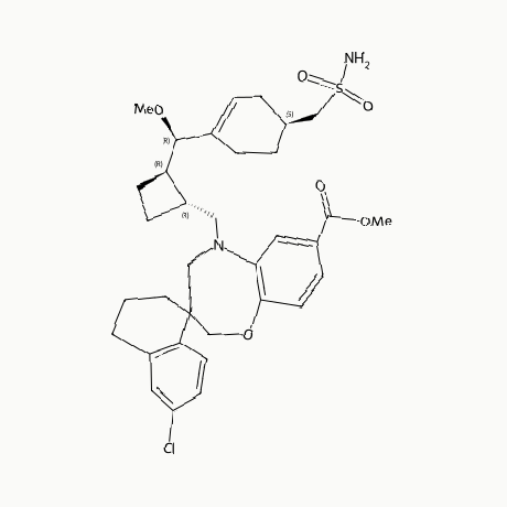 COC(=O)c1ccc2c(c1)N(C[C@@H]1CC[C@H]1[C@@H](OC)C1=CC[C@@H](CS(N)(=O)=O)CC1)CC1(CCCc3cc(Cl)ccc31)CO2